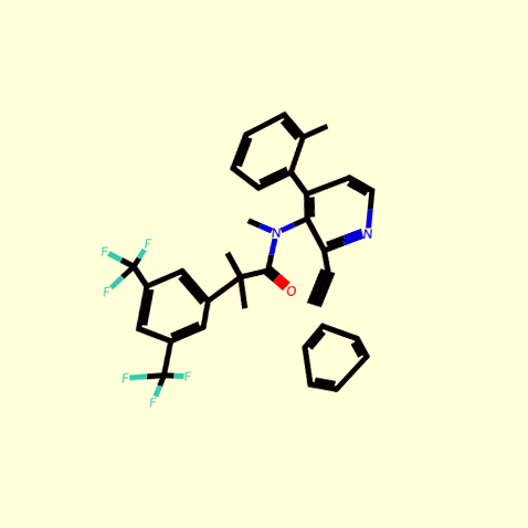 C#Cc1nccc(-c2ccccc2C)c1N(C)C(=O)C(C)(C)c1cc(C(F)(F)F)cc(C(F)(F)F)c1.c1ccccc1